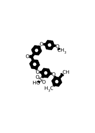 C#Cc1ccc(C)cc1Oc1ccc(Oc2ccc(C(=O)c3ccc(Oc4ccc(OC)cc4)cc3)cc2)c(S(=O)(=O)O)c1